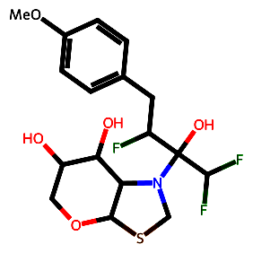 COc1ccc(CC(F)C(O)(C(F)F)N2CSC3OCC(O)C(O)C32)cc1